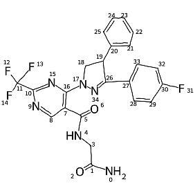 NC(=O)CNC(=O)c1cnc(C(F)(F)F)nc1N1CC(c2ccccc2)C(c2ccc(F)cc2)=N1